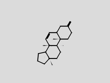 C[C@@]12CCC[C@H]1[C@@H]1C=CC3CC(=O)CC[C@]3(C)[C@H]1CC2